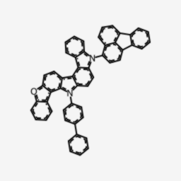 c1ccc(-c2ccc(-n3c4ccc5c(c6ccccc6n5-c5ccc6c7c(cccc57)-c5ccccc5-6)c4c4ccc5oc6ccccc6c5c43)cc2)cc1